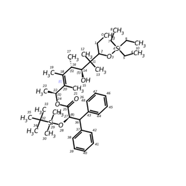 CCC(O[Si](CC)(CC)CC)C(C)(C)[C@@H](O)[C@@H](C)/C(C)=C(\C)[C@H](C)OC(=O)[C@H](O[Si](C)(C)C(C)(C)C)C(c1ccccc1)c1ccccc1